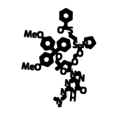 COc1ccc(C(OCC2(C)C[C@@H](OCOP(SCCSC(=O)c3ccccc3)N3CCCC3)[C@H](n3cnc4c(=O)[nH]c(/N=C/N(C)C)nc43)O2)(c2ccccc2)c2ccc(OC)cc2)cc1